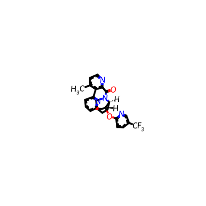 Cc1ccnc(C(=O)N2CC3CC[C@H]2[C@H](Oc2ccc(C(F)(F)F)cn2)C3)c1-c1ccccn1